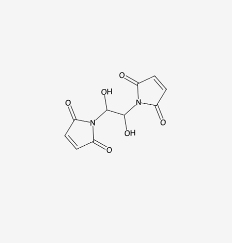 O=C1C=CC(=O)N1C(O)C(O)N1C(=O)C=CC1=O